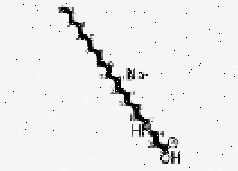 CCCCCCCCCCCCCCCCCCNCCC(=O)O.[Na]